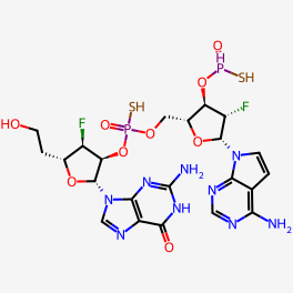 Nc1nc2c(ncn2[C@@H]2O[C@H](CCO)[C@@H](F)[C@H]2OP(=O)(S)OC[C@H]2O[C@@H](n3ccc4c(N)ncnc43)[C@@H](F)[C@@H]2O[PH](=O)S)c(=O)[nH]1